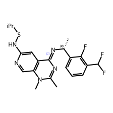 Cc1n/c(=N\[C@H](C)c2cccc(C(F)F)c2F)c2cc(NSC(C)C)ncc2n1C